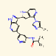 Cc1cn(-c2nccc3[nH]c(-c4n[nH]c5ncc(-c6cncc(NC(=O)C(C)C)c6)cc45)cc23)cn1